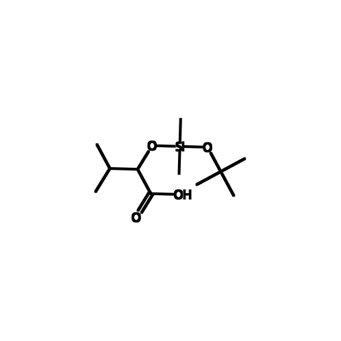 CC(C)C(O[Si](C)(C)OC(C)(C)C)C(=O)O